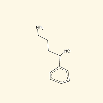 NCCCC(N=O)c1ccccc1